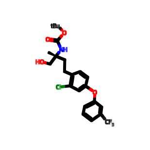 CC(C)(C)OC(=O)N[C@@](C)(CO)CCc1ccc(Oc2cccc(C(F)(F)F)c2)cc1Cl